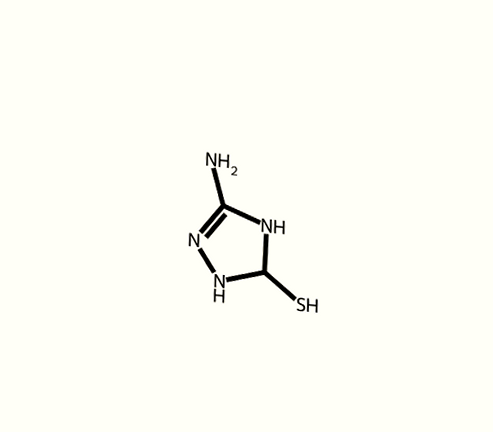 NC1=NNC(S)N1